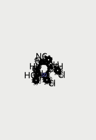 N#Cc1cccc(C2(NC(=O)Nc3ccc(Cl)cc3)CCC3C/C3=C(\Nc3ccc(Cl)cc3)N3C[C@@](O)(c4ccccc4)C[C@@H]3C(=O)Nc3cc2ccc3F)c1